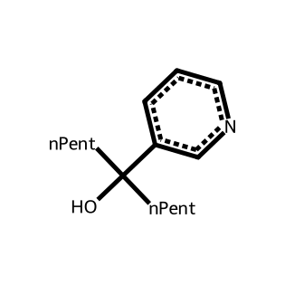 CCCCCC(O)(CCCCC)c1cccnc1